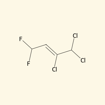 FC(F)C=C(Cl)C(Cl)Cl